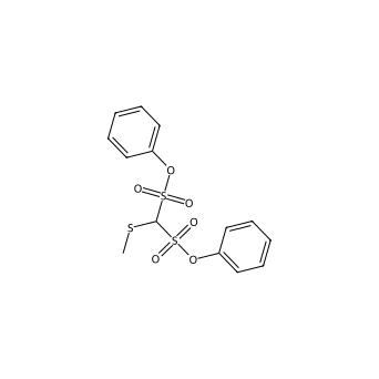 CSC(S(=O)(=O)Oc1ccccc1)S(=O)(=O)Oc1ccccc1